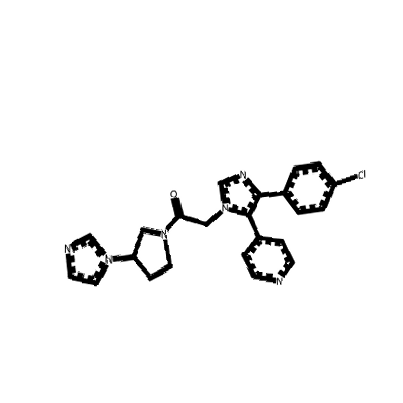 O=C(Cn1cnc(-c2ccc(Cl)cc2)c1-c1ccncc1)N1CCC(n2ccnc2)C1